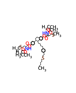 CCCCCCSCCc1ccc(CCCCC2c3ccc(OC(=O)[C@H](CCSC)NC(=O)OC(C)(C)C)cc3CCC2c2ccc(OC(=O)C(CCSC)NC(=O)OC(C)(C)C)cc2)cc1